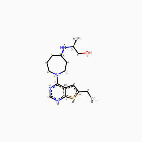 CC(C)[C@@H](CO)N[C@@H]1CCCN(c2ncnc3sc(CC(F)(F)F)cc23)CC1